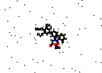 COc1c(C)cc(-c2cccc(N(CC(=O)OC(C)(C)C)C(=O)c3c(F)cccc3F)c2)cc1C